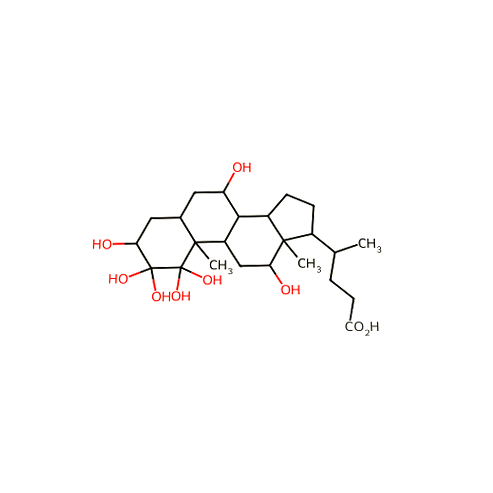 CC(CCC(=O)O)C1CCC2C3C(O)CC4CC(O)C(O)(O)C(O)(O)C4(C)C3CC(O)C12C